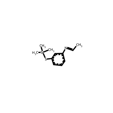 CC=Nc1cccc(S[Si](C)(C)C)c1